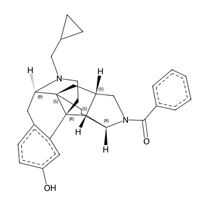 O=C(c1ccccc1)N1C[C@H]2C[C@@]34CC[C@@H]1[C@@H]2[C@@]31CCN(CC2CC2)[C@@H]4Cc2ccc(O)cc21